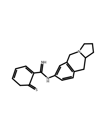 N=C(Nc1ccc2c(c1)CN1CCCC1C2)C1=CC=CCC1=S